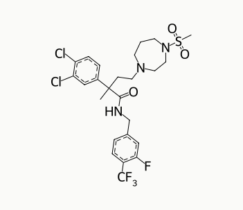 CC(CCN1CCCN(S(C)(=O)=O)CC1)(C(=O)NCc1ccc(C(F)(F)F)c(F)c1)c1ccc(Cl)c(Cl)c1